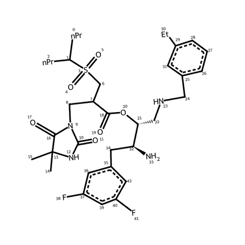 CCCC(CCC)S(=O)(=O)CC(CN1C(=O)NC(C)(C)C1=O)C(=O)O[C@H](CNCc1cccc(CC)c1)[C@@H](N)Cc1cc(F)cc(F)c1